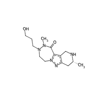 C[C@@H]1Cc2nn3c(c2CN1)C(=O)N(C)N(CCCO)CC3